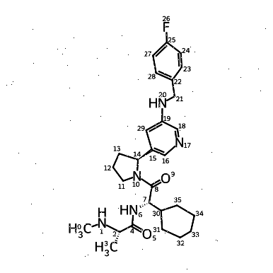 CN[C@@H](C)C(=O)N[C@H](C(=O)N1CCC[C@H]1c1cncc(NCc2ccc(F)cc2)c1)C1CCCCC1